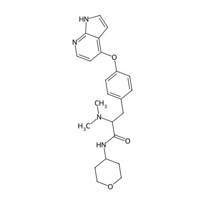 CN(C)C(Cc1ccc(Oc2ccnc3[nH]ccc23)cc1)C(=O)NC1CCOCC1